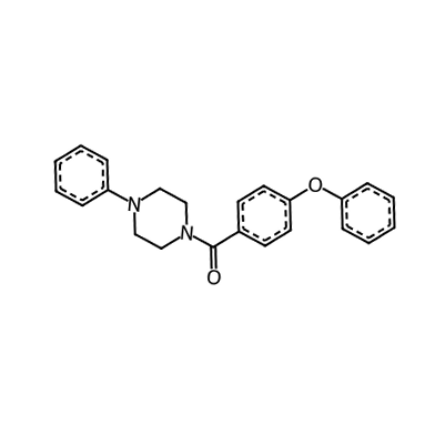 O=C(c1ccc(Oc2ccccc2)cc1)N1CCN(c2ccccc2)CC1